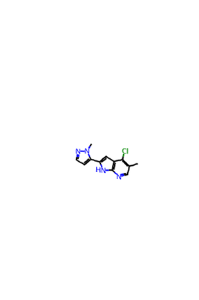 Cc1cnc2[nH]c(-c3ccnn3C)cc2c1Cl